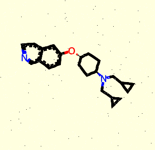 c1cc2cc(O[C@H]3CC[C@H](N(CC4CC4)CC4CC4)CC3)ccc2cn1